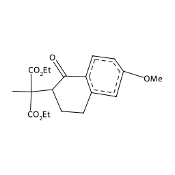 CCOC(=O)C(C)(C(=O)OCC)C1CCc2cc(OC)ccc2C1=O